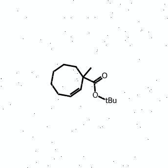 CC(C)(C)OC(=O)C1(C)C=CCCCCC1